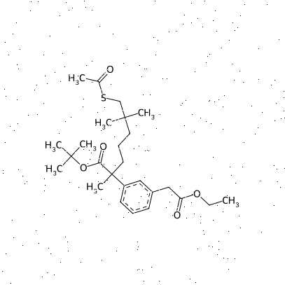 CCOC(=O)Cc1cccc(C(C)(CCCC(C)(C)CSC(C)=O)C(=O)OC(C)(C)C)c1